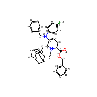 CC(=O)N1[C@H](CC23CC4CC(CC(C4)C2)C3)c2c(c3cc(F)ccc3n2Cc2ccccc2)C[C@H]1C(=O)OCc1ccccc1